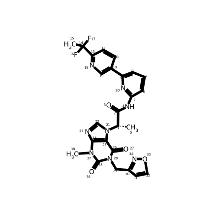 C[C@@H](C(=O)Nc1cccc(-c2ccc(C(C)(F)F)nc2)n1)n1cnc2c1c(=O)n(Cc1ccon1)c(=O)n2C